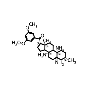 COc1cc(OC)cc(C(=O)[C@H]2CCC3[C@]4(N)CC[C@]5(N)C[C@@H](C)CC[C@]5(N)C4CC[C@@]32C)c1